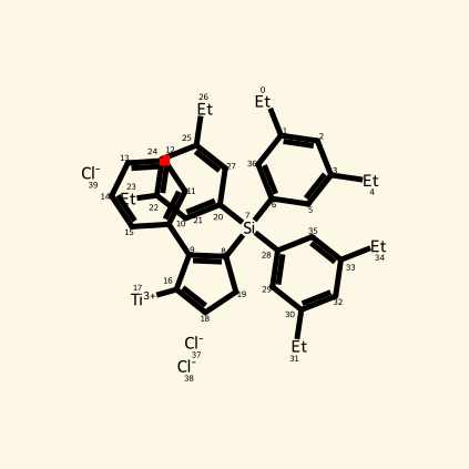 CCc1cc(CC)cc([Si](C2=C(c3ccccc3)[C]([Ti+3])=CC2)(c2cc(CC)cc(CC)c2)c2cc(CC)cc(CC)c2)c1.[Cl-].[Cl-].[Cl-]